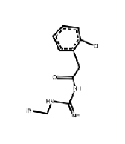 CC(C)CNC(=N)NC(=O)Cc1ccccc1Cl